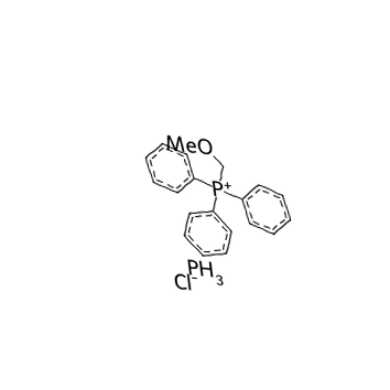 COC[P+](c1ccccc1)(c1ccccc1)c1ccccc1.P.[Cl-]